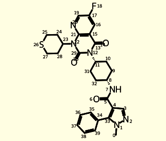 Cn1ncc(C(=O)N[C@H]2CC[C@@H](n3c(=O)c4cc(F)cnc4n(C4CCSCC4)c3=O)CC2)c1-c1ccccc1